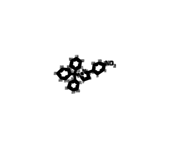 O=[N+]([O-])c1ccc(-c2ccn(C(c3ccccc3)(c3ccccc3)c3ccccc3)n2)cc1